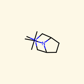 CN1CC2CCC(C1)N2C(C)(C)C